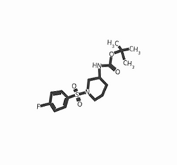 CC(C)(C)OC(=O)NC1CCCN(S(=O)(=O)c2ccc(F)cc2)C1